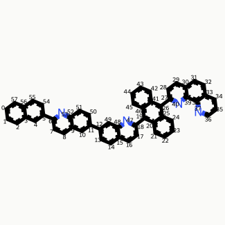 c1ccc2cc(-c3ccc4cc(-c5ccc6ccc(-c7c8ccccc8c(-c8ccc9ccc%10cccnc%10c9n8)c8ccccc78)nc6c5)ccc4n3)ccc2c1